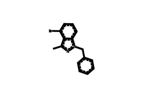 Cc1nn(Cc2ccccc2)c2cccc(Br)c12